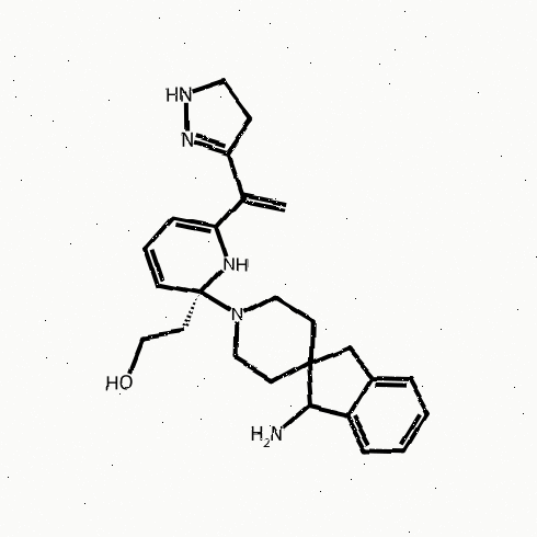 C=C(C1=CC=C[C@](CCO)(N2CCC3(CC2)Cc2ccccc2C3N)N1)C1=NNCC1